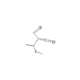 CSC(C)C(=C=O)C=O